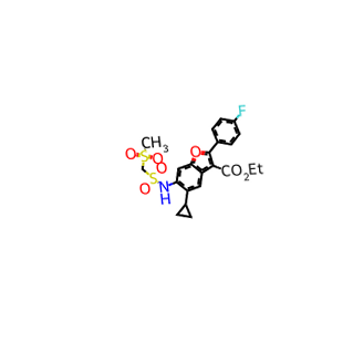 CCOC(=O)c1c(-c2ccc(F)cc2)oc2cc(NS(=O)(=O)CS(C)(=O)=O)c(C3CC3)cc12